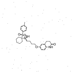 Cc1ccc(S(=O)(=O)C2([N+](S)=CCCCOc3ccc4c(c3)CCC(=O)N4)CCCCC2)cc1